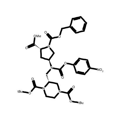 COC(=O)[C@H]1C[C@H](N(C[C@@H]2CN(C(=O)OC(C)(C)C)CCN2C(=O)OC(C)(C)C)C(=O)Oc2ccc([N+](=O)[O-])cc2)CN1C(=O)OCc1ccccc1